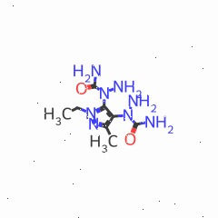 CCn1nc(C)c(N(N)C(N)=O)c1N(N)C(N)=O